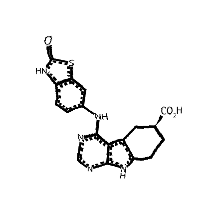 O=C(O)[C@H]1CCc2[nH]c3ncnc(Nc4ccc5[nH]c(=O)sc5c4)c3c2C1